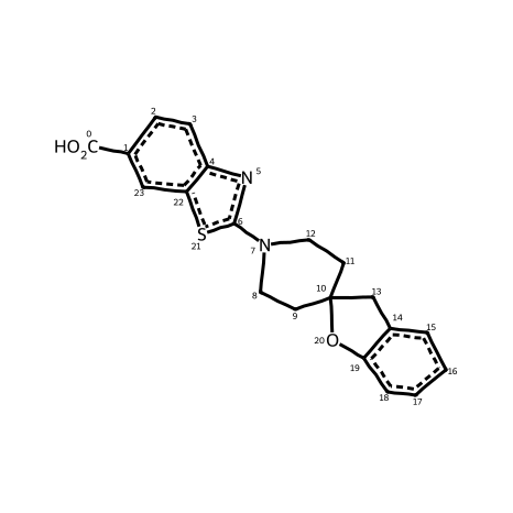 O=C(O)c1ccc2nc(N3CCC4(CC3)Cc3ccccc3O4)sc2c1